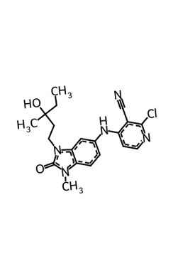 CCC(C)(O)CCn1c(=O)n(C)c2ccc(Nc3ccnc(Cl)c3C#N)cc21